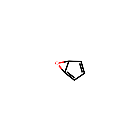 C1=C[C]2OC2=C1